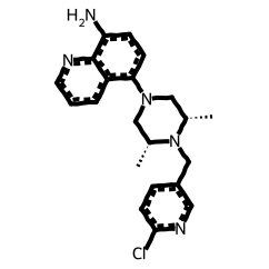 C[C@@H]1CN(c2ccc(N)c3ncccc23)C[C@H](C)N1Cc1ccc(Cl)nc1